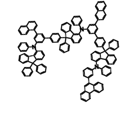 c1ccc(N(c2cc(-c3ccc(C4(c5ccccc5)c5ccccc5-c5c(N(c6ccccc6)c6cccc(-c7cc8ccccc8c8ccccc78)c6)cccc54)cc3)cc(-c3ccc4ccccc4c3)c2)c2cccc3c2-c2ccccc2C3(c2ccccc2)c2ccc(-c3cc(-c4cccc5ccccc45)cc(N(c4ccccc4)c4cccc5c4-c4ccccc4C5(c4ccccc4)c4ccccc4)c3)cc2)cc1